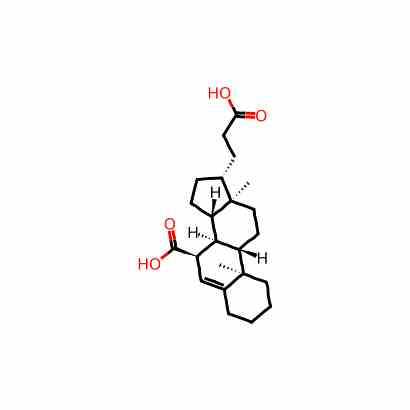 C[C@]12CC[C@H]3[C@@H]([C@H](C(=O)O)C=C4CCCC[C@@]43C)[C@@H]1CC[C@@H]2CCC(=O)O